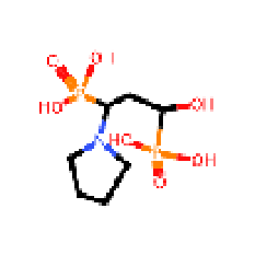 O=P(O)(O)C(O)CC(N1CCCC1)P(=O)(O)O